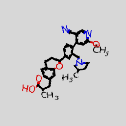 COc1cc(-c2ccc(C3CCc4ccc(CC(C)C(=O)O)cc4O3)cc2CN2CCC(C)C2)c(C#N)cn1